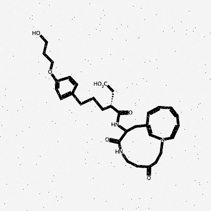 O=C(O)C[C@@H](CCCc1ccc(OCCCO)cc1)C(=O)NC1Cc2ccccccn(c2)CCC(=O)CCNC1=O